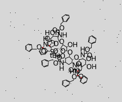 CC(C)(C)[Si](OC[C@H]1O[C@@H](O[C@@H]2[C@@H](O)[C@H](NC(=O)OCc3ccccc3)C[C@H](NC(=O)OCc3ccccc3)[C@H]2O[C@H]2O[C@H](CNC(=O)OCc3ccccc3)[C@@H](O)[C@H](O)[C@H]2NC(=O)OCc2ccccc2)[C@H](O)[C@@H]1O[C@H]1O[C@@H](CNC(=O)OCc2ccccc2)[C@@H](O)[C@H](O)[C@H]1NC(=O)OCc1ccccc1)(c1ccccc1)c1ccccc1